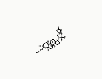 CCOC[C@@]1(O)CC[C@H]2[C@H](CC[C@@H]3[C@@H]2CC[C@]2(C)[C@@H](C(Cn4nnc(C)n4)C(F)(F)F)CC[C@@H]32)C1